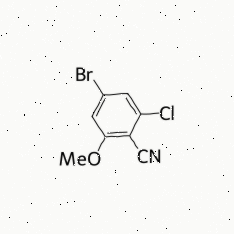 COc1cc(Br)cc(Cl)c1C#N